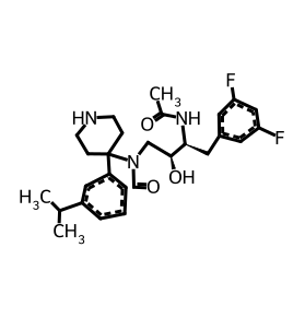 CC(=O)N[C@@H](Cc1cc(F)cc(F)c1)[C@@H](O)CN(C=O)C1(c2cccc(C(C)C)c2)CCNCC1